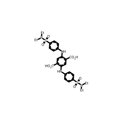 CCN(CC)S(=O)(=O)c1ccc(Nc2cc(C(=O)O)c(Nc3ccc(S(=O)(=O)N(CC)CC)cc3)cc2C(=O)O)cc1